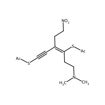 CC(=O)SC#C/C(CC[N+](=O)[O-])=C(\CCN(C)C)SC(C)=O